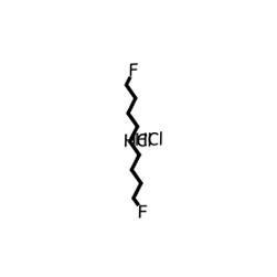 Cl.Cl.FCCCCCCCCCF